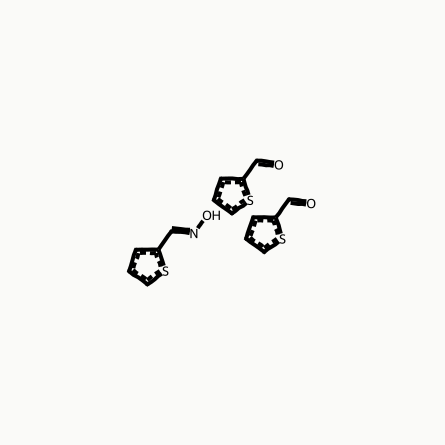 O=Cc1cccs1.O=Cc1cccs1.ON=Cc1cccs1